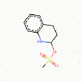 CS(=O)(=O)OC1CCc2ccccc2N1